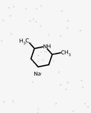 CC1CCCC(C)N1.[Na]